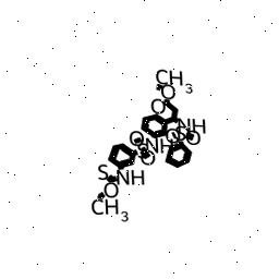 CCOC(=O)CC(NS(=O)(=O)c1ccccc1)c1cccc(NS(=O)(=O)c2cccc(NC(=S)OCC)c2)c1